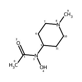 CC(=O)N(O)C1CCN(C)CC1